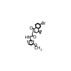 COc1ccnc(NC(=O)CN2CC3(CC3)c3cc(Br)ccc3C2=O)n1